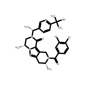 C[C@@H]1Cc2nn3c(c2CN1C(=O)c1ccc(Cl)c(Cl)c1)C(=O)N([C@H](C)c1ccc(C(C)(C)O)nc1)C[C@H]3C